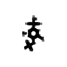 CS(=O)(=O)Oc1ccc(S(=O)(=O)O)cc1Cl.[Na]